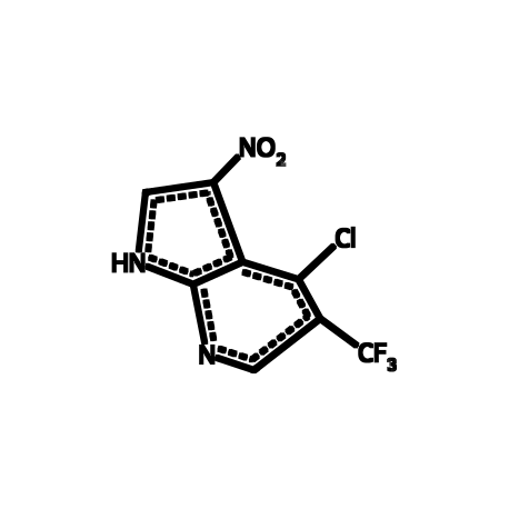 O=[N+]([O-])c1c[nH]c2ncc(C(F)(F)F)c(Cl)c12